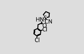 N#CS1(NC(=O)Cc2ccc(Cl)cc2Cl)CCCC1